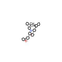 CC1(C)c2ccccc2-c2ccc(N(c3ccc(-c4ccc5oc6ccccc6c5c4)cc3)c3cc(-c4ccc5ccccc5c4)ccc3-c3ccccc3)cc21